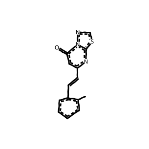 Cc1ccccc1/C=C/c1cc(=O)n2ncsc2n1